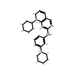 C1=Cc2cnc(Nc3cccc(N4CCCCC4)c3)nc2N(C2CCCCC2)C1